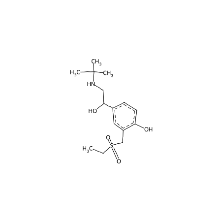 CCS(=O)(=O)Cc1cc(C(O)CNC(C)(C)C)ccc1O